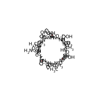 CCCC[C@H]1C(=O)N2CCC[C@@H]2C(=O)N[C@@H](CC(=O)O)C(=O)N[C@@H](C)C(=O)N(C)[C@@H](Cc2ccccc2)C(=O)N[C@@H](Cc2ccc(O)cc2)C(=O)N2CCCC[C@@H]2C(=O)N[C@@H](Cc2c[nH]c3ccccc23)C(=O)N[C@@H](Cc2ccc(O)cc2)C(=O)N[C@@H](CC(C)C)C(=O)N[C@H](C(=O)NCC(N)=O)CSCC(=O)N[C@@H](Cc2ccccc2)C(=O)N(C)[C@@H](Cc2ccccc2)C(=O)N1C